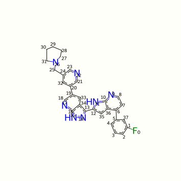 Fc1cccc(-c2ccnc3[nH]c(-c4n[nH]c5ncc(-c6cncc(CN7CCCCC7)c6)cc45)cc23)c1